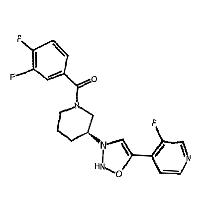 O=C(c1ccc(F)c(F)c1)N1CCC[C@H](N2C=C(c3ccncc3F)ON2)C1